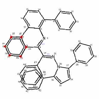 c1ccc(C(=N\c2c(-c3ccccc3)cccc2-c2ccccc2)/C(=N/n2c(-c3ccccc3)ccc2-c2ccccc2)c2ccccc2)cc1